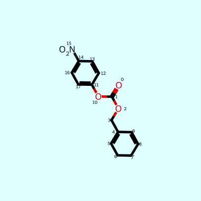 O=C(OCC1=CC[CH]C=C1)Oc1ccc([N+](=O)[O-])cc1